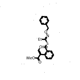 CC/C(=N\OCc1ccccc1)SCc1ccccc1/C(=C\OC)C(=O)OC